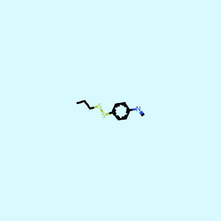 C=Nc1ccc(SSCCC)cc1